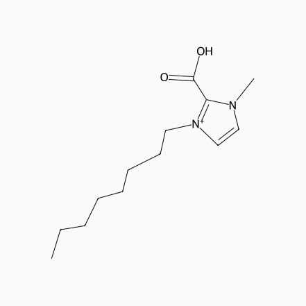 CCCCCCCC[n+]1ccn(C)c1C(=O)O